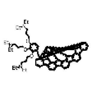 CCN(CC)CCCOc1ccc(C2N(C)CC34C5=c6ccc7c8ccc9c%10ccc%11c%12ccc%13c%14c(c%15c%16c3c6c7c3c8c9c6c%10c%11c(c%14%12)c%15c6c%163)C24C=%13C=C5)c(OCCCN(CC)CC)c1OCCCN(CC)CC